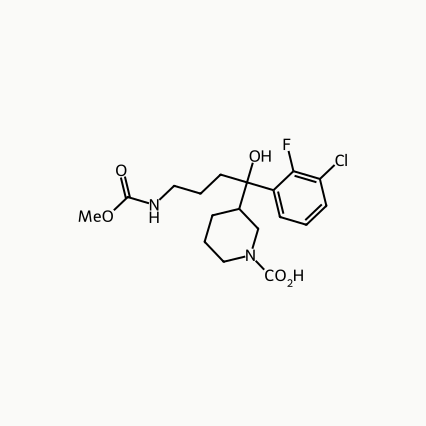 COC(=O)NCCCC(O)(c1cccc(Cl)c1F)C1CCCN(C(=O)O)C1